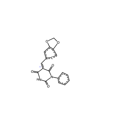 O=C1NC(=O)N(c2ccccc2)C(=O)/C1=C\c1ccc2c(c1)OCO2